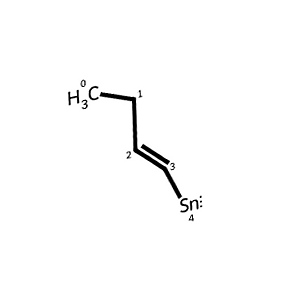 CCC=[CH][Sn]